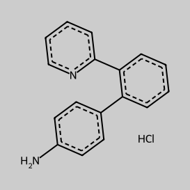 Cl.Nc1ccc(-c2ccccc2-c2ccccn2)cc1